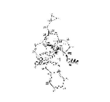 COc1ccc2c3c1O[C@H]1[C@@]4(OC)CC[C@@]5(C[C@@H]4CS(=O)(=O)Cc4ccccc4)C(C2)N(CC2CC2)CC[C@]315